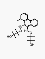 CC1CC=Cc2c1c(BOC(C)(C)C(C)(C)O)c(BOC(C)(C)C(C)(C)O)c1ccccc21